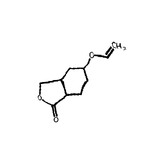 C=COC1CCC2C(=O)OCC2C1